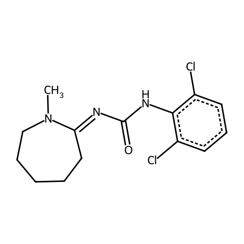 CN1CCCCCC1=NC(=O)Nc1c(Cl)cccc1Cl